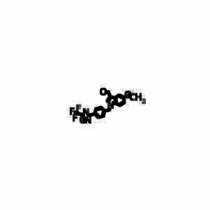 COc1ccc2c(c1)c(C=O)cn2Cc1ccc(-c2noc(C(F)(F)F)n2)cc1